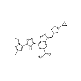 CCn1nc(C)cc1-c1nnc(-c2cc(C(N)=O)cc3c2cnn3C[C@H]2CCN(C3CC3)C2)[nH]1